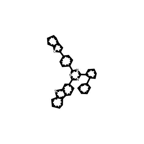 c1ccc(-c2ccccc2-c2nc(-c3ccc(-c4cc5ccccc5o4)cc3)nc(-c3ccc4c(c3)sc3ccccc34)n2)cc1